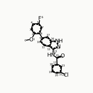 COc1ccc(F)cc1-c1ccc2c(NC(=O)c3cccc(Cl)c3)n[nH]c2c1